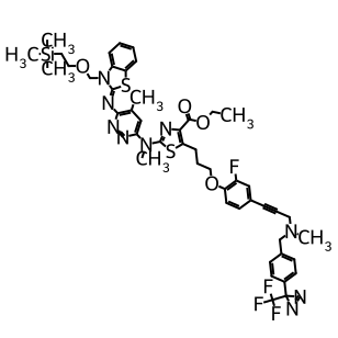 CCOC(=O)c1nc(N(C)c2cc(C)c(/N=c3\sc4ccccc4n3COCC[Si](C)(C)C)nn2)sc1CCCOc1ccc(C#CCN(C)Cc2ccc(C3(C(F)(F)F)N=N3)cc2)cc1F